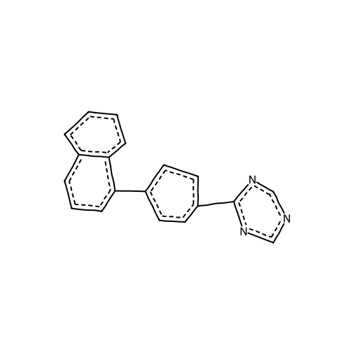 c1ccc2c(-c3ccc(-c4ncncn4)cc3)cccc2c1